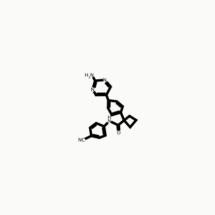 N#Cc1ccc(NC(=O)C2(c3ccc(-c4cnc(N)nc4)cc3)CCC2)cc1